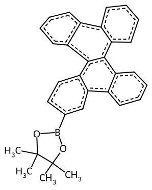 CC1(C)OB(c2ccc3c(c2)c2ccccc2c2c4ccccc4c4ccccc4c32)OC1(C)C